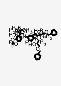 BC(B)(OCc1ccccc1)C(C)(C)c1cc2cc(NC(=O)C3(c4ccc5c(c4)OC(F)(F)O5)C(B)(B)C3(B)B)c(F)cc2n1C[C@@H](O)COCc1ccccc1